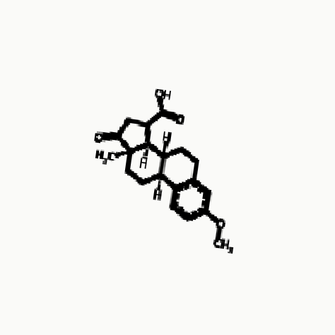 COc1ccc2c(c1)CC[C@@H]1[C@@H]2CC[C@]2(C)C(=O)CC(C(=O)O)[C@@H]12